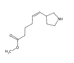 COC(=O)CCC/C=C\C1CCNC1